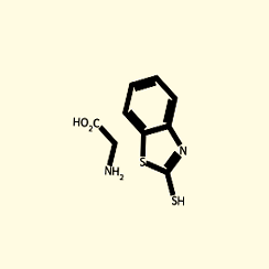 NCC(=O)O.Sc1nc2ccccc2s1